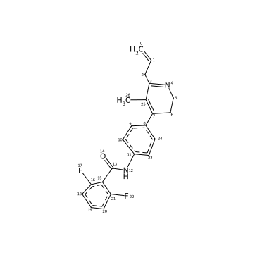 C=CCC1=NCCC(c2ccc(NC(=O)c3c(F)cccc3F)cc2)=C1C